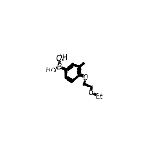 CCOCCOc1ccc(B(O)O)cc1C